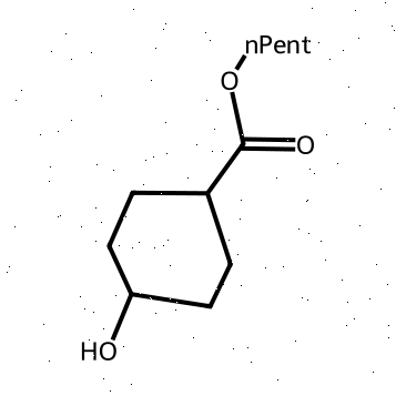 CCCCCOC(=O)C1CCC(O)CC1